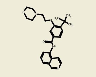 CC(C)(C)c1ccc(C(=O)Nc2cccc3cnccc23)cc1OCCN1CCOCC1